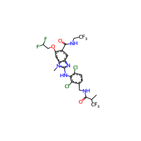 CC(C(=O)NCc1ccc(Cl)c(Nc2nc3cc(C(=O)NCC(F)(F)F)c(OCC(F)F)cc3n2C)c1Cl)C(F)(F)F